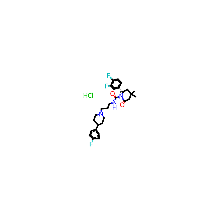 CC1(C)CC(=O)N(C(=O)NCCCN2CCC(c3ccc(F)cc3)CC2)[C@H](c2ccc(F)c(F)c2)C1.Cl